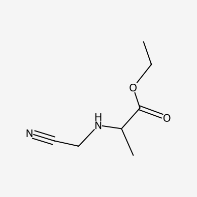 CCOC(=O)C(C)NCC#N